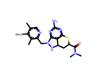 COc1c(C)cnc(CN2NC3CC(C(=O)N(C)C)Sc4nc(N)nc2c43)c1C